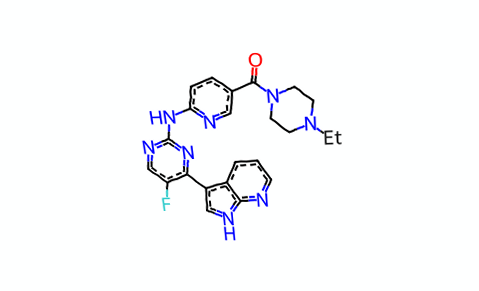 CCN1CCN(C(=O)c2ccc(Nc3ncc(F)c(-c4c[nH]c5ncccc45)n3)nc2)CC1